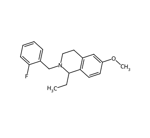 CCC1c2ccc(OC)cc2CCN1Cc1ccccc1F